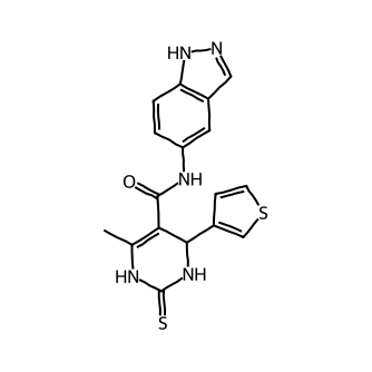 CC1=C(C(=O)Nc2ccc3[nH]ncc3c2)C(c2ccsc2)NC(=S)N1